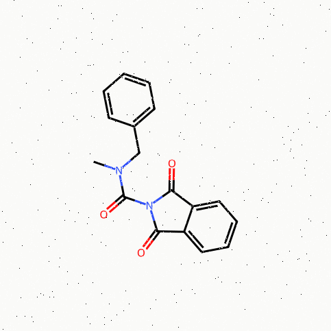 CN(Cc1ccccc1)C(=O)N1C(=O)c2ccccc2C1=O